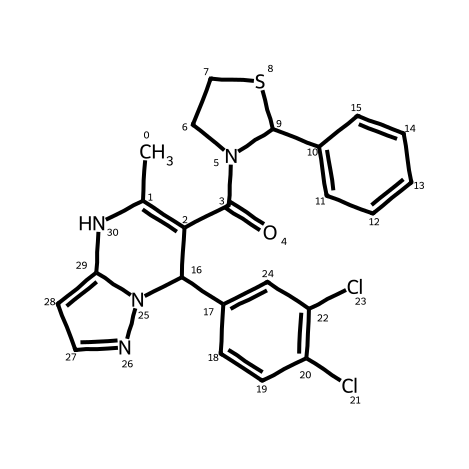 CC1=C(C(=O)N2CCSC2c2ccccc2)C(c2ccc(Cl)c(Cl)c2)n2nccc2N1